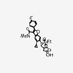 CCS(=O)(=O)N(CC1COB(O)C1)c1cc2oc(-c3ccc(F)cc3)c(C(=O)NC)c2cc1C1CC1